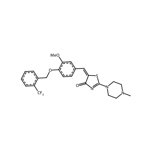 COc1cc(/C=C2/SC(N3CCN(C)CC3)=NC2=O)ccc1OCc1ccccc1C(F)(F)F